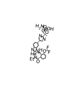 CCN1C(=O)c2cccc(OC(F)F)c2[C@H]2C[C@H]1c1nc3ccc(-c4cnc(C(C)(C)OP(=O)(O)ON)nc4)cc3n12